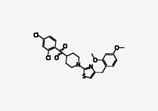 COc1ccc(Cc2csc(N3CCC(S(=O)(=O)c4ccc(Cl)cc4Cl)CC3)n2)c(OC)c1